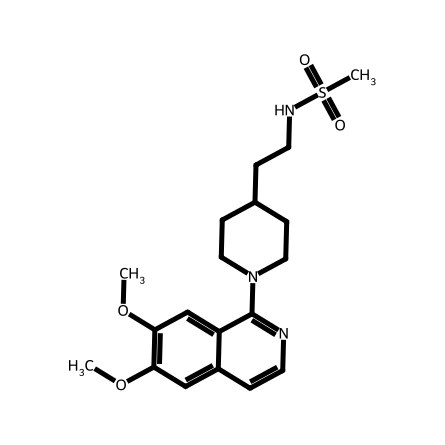 COc1cc2ccnc(N3CCC(CCNS(C)(=O)=O)CC3)c2cc1OC